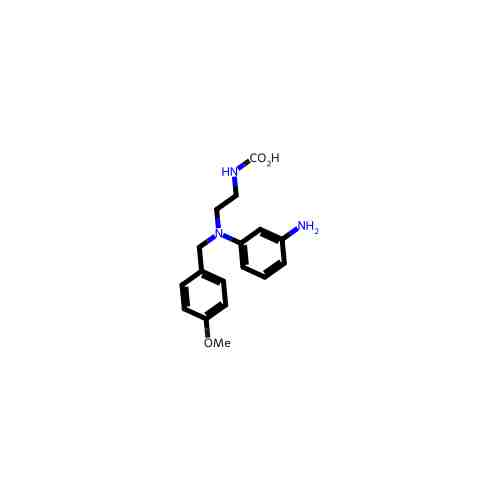 COc1ccc(CN(CCNC(=O)O)c2cccc(N)c2)cc1